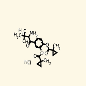 CC1(C(=O)Oc2ccc(C(=O)C(N)C(C)(C)C)cc2OC(=O)C2(C)CC2)CC1.Cl